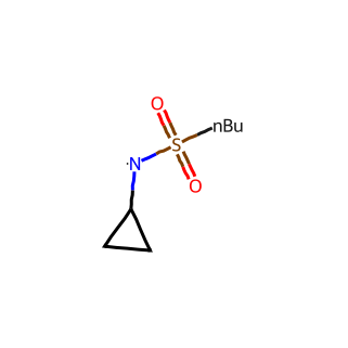 CCCCS(=O)(=O)[N]C1CC1